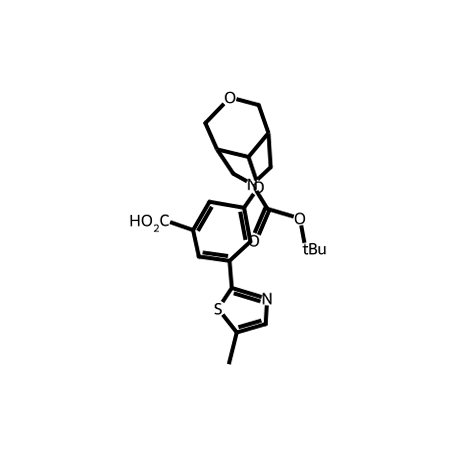 Cc1cnc(-c2cc(OC3C4COCC3CN(C(=O)OC(C)(C)C)C4)cc(C(=O)O)c2)s1